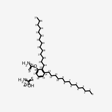 CCCCCCCCCCCCCCc1cccc(OC(N)=S)c1CCCCCCCCCCCCCC.NC(O)=S.[Zn]